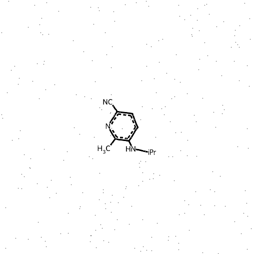 Cc1nc(C#N)ccc1NC(C)C